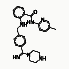 Cc1ccc(NC(=O)c2ccccc2NCc2ccc(C(=N)N3CCNCC3)cc2)nc1